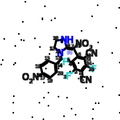 N#Cc1c(F)c(F)c(/C(=C2/NCCN2Cc2ccc([N+](=O)[O-])cc2)[N+](=O)[O-])c(C#N)c1F